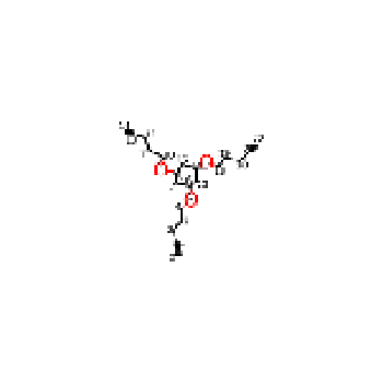 C#CCCCOC1CC(OCCCC#C)CC(OCCCC#C)C1